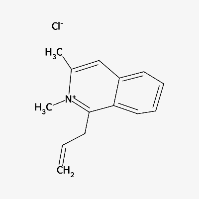 C=CCc1c2ccccc2cc(C)[n+]1C.[Cl-]